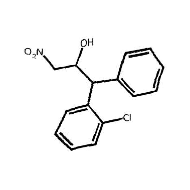 O=[N+]([O-])CC(O)C(c1ccccc1)c1ccccc1Cl